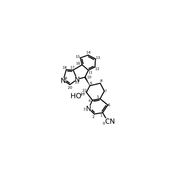 N#Cc1cnc2c(c1)CC[C@H](C1c3ccccc3-c3cncn31)[C@H]2O